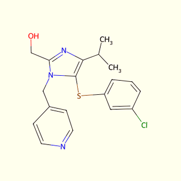 CC(C)c1nc(CO)n(Cc2ccncc2)c1Sc1cccc(Cl)c1